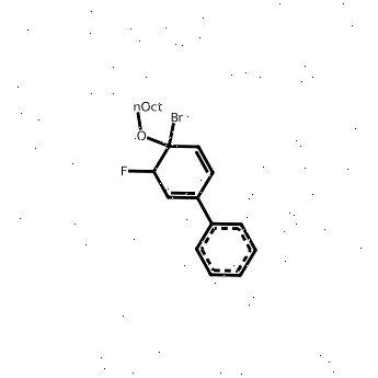 CCCCCCCCOC1(Br)C=CC(c2ccccc2)=CC1F